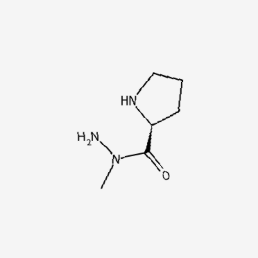 CN(N)C(=O)[C@@H]1CCCN1